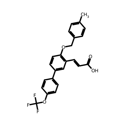 Cc1ccc(COc2ccc(-c3ccc(OC(F)(F)F)cc3)cc2C=CC(=O)O)cc1